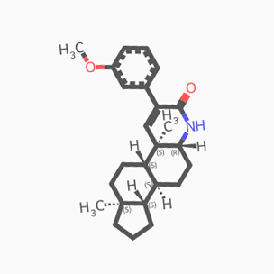 COc1cccc(C2=C[C@@]3(C)[C@@H](CC[C@H]4[C@@H]5CCC[C@@]5(C)CC[C@@H]43)NC2=O)c1